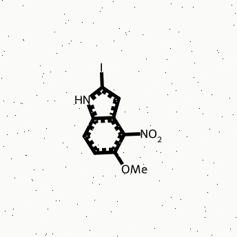 COc1ccc2[nH]c(I)cc2c1[N+](=O)[O-]